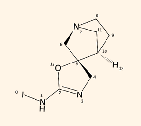 INC1=NC[C@]2(C[N@@]3CC[C@@H]2C3)O1